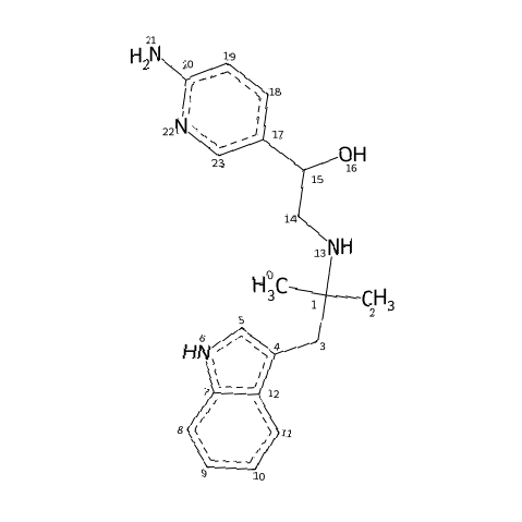 CC(C)(Cc1c[nH]c2ccccc12)NCC(O)c1ccc(N)nc1